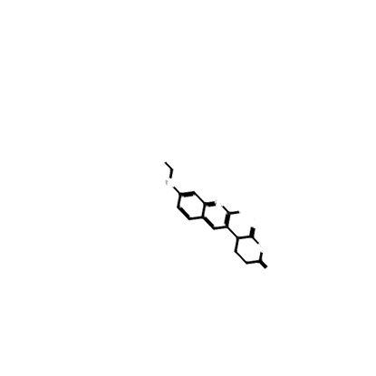 Cc1nc2cc(NCC(=O)O)ccc2cc1C1CCC(=O)NC1=O